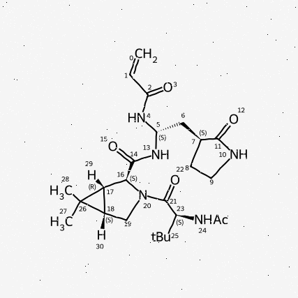 C=CC(=O)N[C@H](C[C@@H]1CCNC1=O)NC(=O)[C@@H]1[C@@H]2[C@H](CN1C(=O)[C@@H](NC(C)=O)C(C)(C)C)C2(C)C